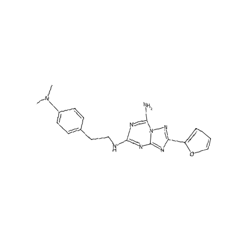 CN(C)c1ccc(CCNc2nc(N)n3nc(-c4ccco4)nc3n2)cc1